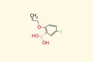 C=CCOc1ccc(F)cc1B(O)O